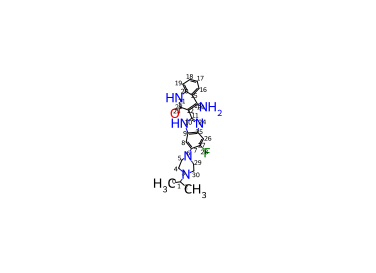 CC(C)N1CCN(c2cc3[nH]c(-c4c(N)c5ccccc5[nH]c4=O)nc3cc2F)CC1